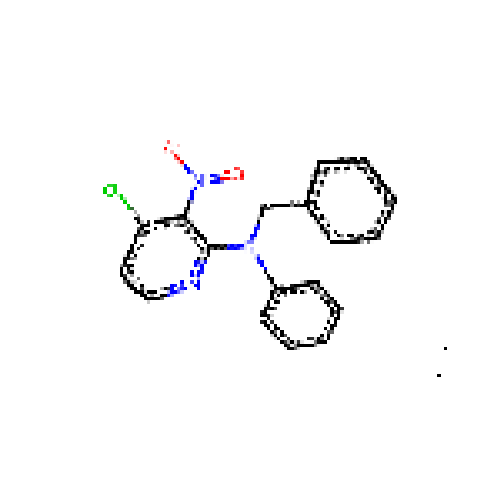 O=[N+]([O-])c1c(Cl)ccnc1N(Cc1ccccc1)c1ccccc1